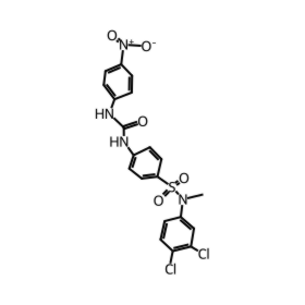 CN(c1ccc(Cl)c(Cl)c1)S(=O)(=O)c1ccc(NC(=O)Nc2ccc([N+](=O)[O-])cc2)cc1